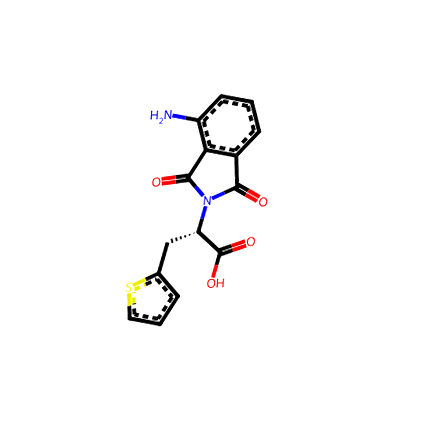 Nc1cccc2c1C(=O)N([C@@H](Cc1cccs1)C(=O)O)C2=O